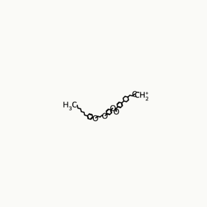 [CH2+][CH-]CCC1CCC(c2ccc(C(=O)Oc3ccc(OCCCOc4ccc(CCCCCCC)cc4)cc3)cc2)CC1